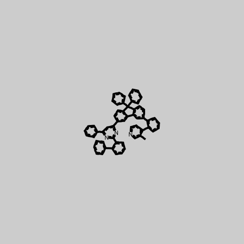 Cc1cnccc1-c1ccccc1-c1ccc2c(c1)-c1cc(-c3cc(-c4ccccc4)nc(-c4ccccc4-c4ccccc4)n3)ccc1C2(c1ccccc1)c1ccccc1